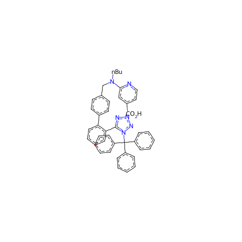 CCCCN(Cc1ccc(-c2ccccc2-c2nnnn2C(c2ccccc2)(c2ccccc2)c2ccccc2)cc1)c1cc(C(=O)O)ccn1